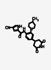 [C-]#[N+]c1c[nH]c(C(=O)Nc2ccc(C3CC(=O)NC(=O)C3)cc2N2CCC(C)CC2)c1